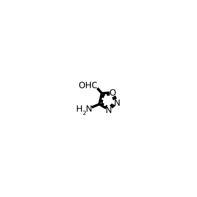 Nc1nnoc1C=O